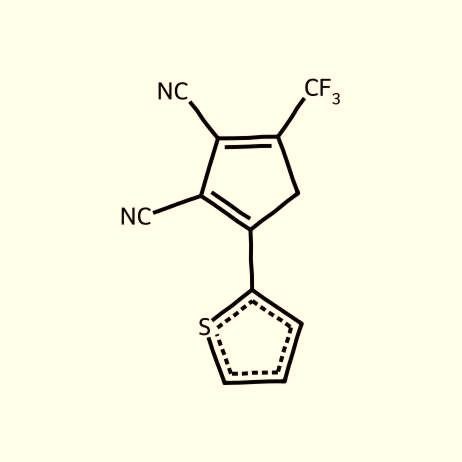 N#CC1=C(c2cccs2)CC(C(F)(F)F)=C1C#N